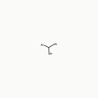 CCCC(CCC)C(C)=O